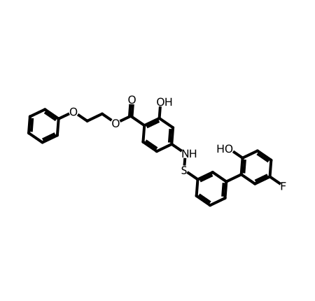 O=C(OCCOc1ccccc1)c1ccc(NSc2cccc(-c3cc(F)ccc3O)c2)cc1O